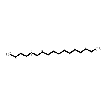 CCCCCCCCCCCCNCCC[SiH3]